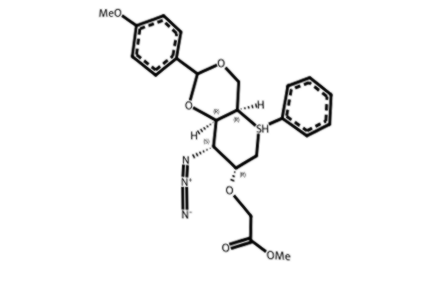 COC(=O)CO[C@H]1C[SH](c2ccccc2)[C@@H]2COC(c3ccc(OC)cc3)O[C@@H]2[C@H]1N=[N+]=[N-]